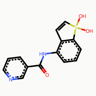 O=C(Nc1cccc2c1C=CS2(O)O)c1cccnc1